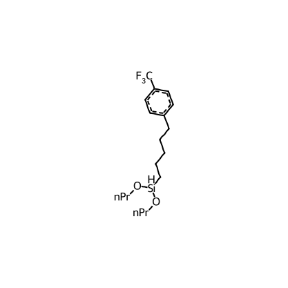 CCCO[SiH](CCCCCc1ccc(C(F)(F)F)cc1)OCCC